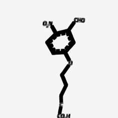 O=Cc1cc(OCCCCC(=O)O)ccc1[N+](=O)[O-]